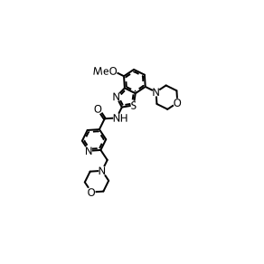 COc1ccc(N2CCOCC2)c2sc(NC(=O)c3ccnc(CN4CCOCC4)c3)nc12